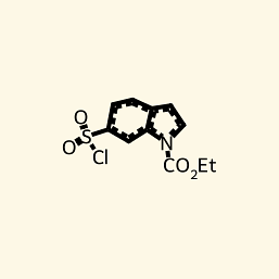 CCOC(=O)n1ccc2ccc(S(=O)(=O)Cl)cc21